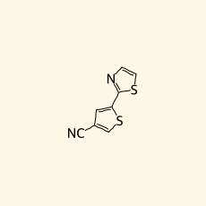 N#Cc1csc(-c2nccs2)c1